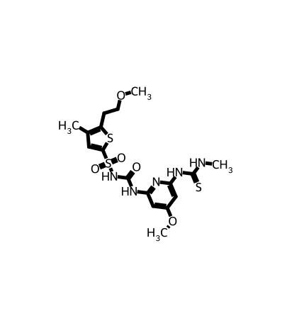 CNC(=S)Nc1cc(OC)cc(NC(=O)NS(=O)(=O)c2cc(C)c(CCOC)s2)n1